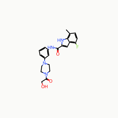 Cc1ccc(F)c2cc(C(=O)Nc3cccc(N4CCN(C(=O)CO)CC4)c3)[nH]c12